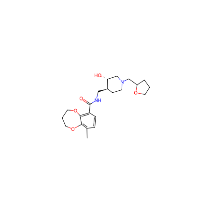 Cc1ccc(C(=O)NC[C@@H]2CCN(CC3CCCO3)C[C@H]2O)c2c1OCCCO2